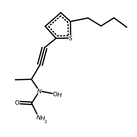 CCCCc1ccc(C#CC(C)N(O)C(N)=O)s1